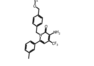 CCOCc1ccc(Cn2c(-c3cccc(C)c3)cc(C(F)(F)F)c(N)c2=O)cc1